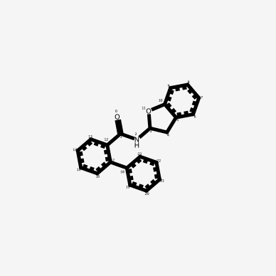 O=C(NC1Cc2ccccc2O1)c1ccccc1-c1ccccc1